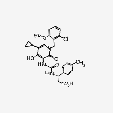 CCOc1cccc(Cl)c1Cn1cc(C2CC2)c(O)c(NC(=O)N[C@@H](CC(=O)O)c2ccc(C)cc2)c1=O